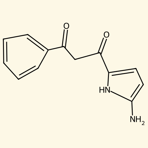 Nc1ccc(C(=O)CC(=O)c2ccccc2)[nH]1